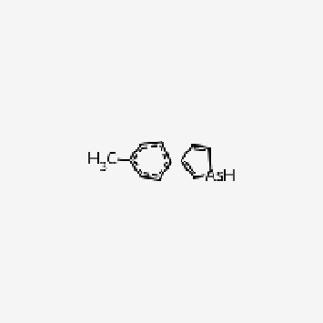 C1=C[AsH]C=C1.Cc1ccccc1